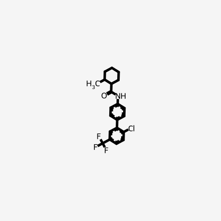 CC1CCCCC1C(=O)Nc1ccc(-c2cc(C(F)(F)F)ccc2Cl)cc1